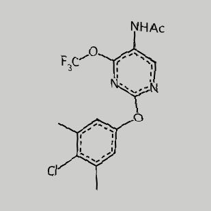 CC(=O)Nc1cnc(Oc2cc(C)c(Cl)c(C)c2)nc1OC(F)(F)F